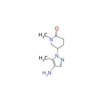 Cc1c(N)cnn1C1CCC(=O)N(C)C1